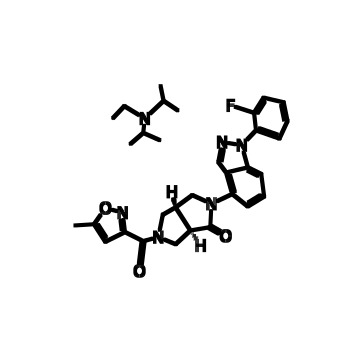 CCN(C(C)C)C(C)C.Cc1cc(C(=O)N2C[C@@H]3CN(c4cccc5c4cnn5-c4ccccc4F)C(=O)[C@H]3C2)no1